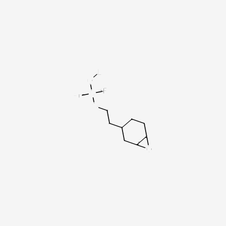 CCO[Si](CC)(CC)OCCC1CCC2OC2C1